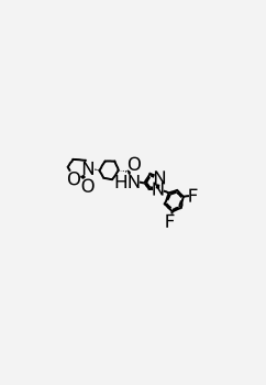 O=C1OCCCN1[C@H]1CC[C@@H](C(=O)Nc2cnn(-c3cc(F)cc(F)c3)c2)CC1